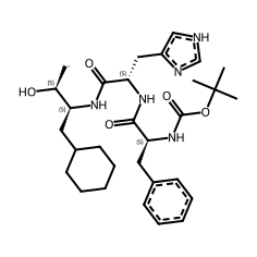 [CH2][C@H](O)[C@H](CC1CCCCC1)NC(=O)[C@H](Cc1c[nH]cn1)NC(=O)[C@H](Cc1ccccc1)NC(=O)OC(C)(C)C